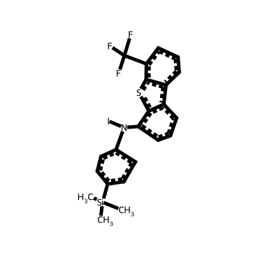 C[Si](C)(C)c1ccc(N(I)c2cccc3c2sc2c(C(F)(F)F)cccc23)cc1